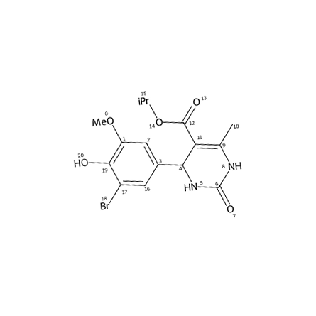 COc1cc(C2NC(=O)NC(C)=C2C(=O)OC(C)C)cc(Br)c1O